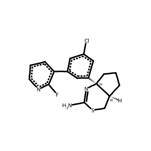 NC1=N[C@@]2(c3cc(Cl)cc(-c4cccnc4F)c3)CCC[C@H]2CS1